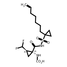 C=CCCCCCC1(S(=O)(=O)NC(=O)[C@@]2(NC(=O)O)C[C@H]2C(F)F)CC1